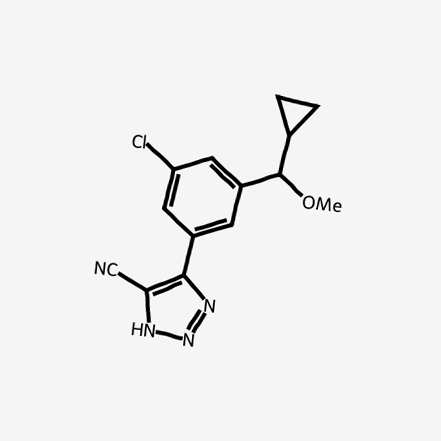 COC(c1cc(Cl)cc(-c2nn[nH]c2C#N)c1)C1CC1